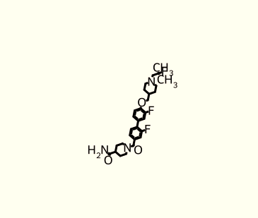 CC(C)(F)CN1CCC(COc2ccc(-c3ccc(C(=O)N4CCC(C(N)=O)CC4)cc3F)cc2F)CC1